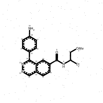 CCC(COC)NC(=O)c1ccc2cnnc(-c3ccc(N)cc3)c2c1